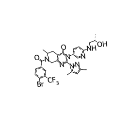 Cc1cc(C)n(-c2nc3c(c(=O)n2-c2ccc(NC[C@H](C)O)nc2)CC(C)N(C(=O)c2ccc(Br)c(C(F)(F)F)c2)C3)n1